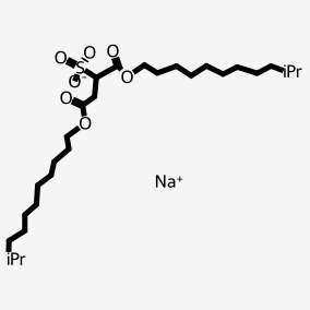 CC(C)CCCCCCCCCOC(=O)CC(C(=O)OCCCCCCCCCC(C)C)S(=O)(=O)[O-].[Na+]